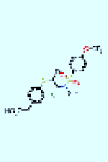 CCCN(CC(CC)Sc1ccc(CC(=O)O)cc1Cl)S(=O)(=O)c1ccc(OC(F)(F)F)cc1